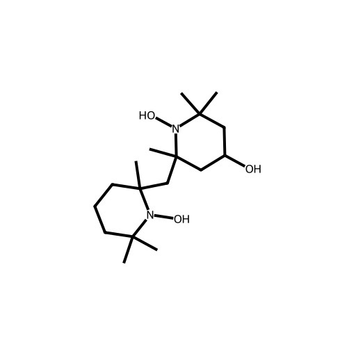 CC1(C)CCCC(C)(CC2(C)CC(O)CC(C)(C)N2O)N1O